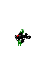 Cc1ccc(C(F)(F)F)cc1-c1c2cc3c(cc2c(-c2cc(C(F)(F)F)ccc2C)c2c4cc5ccccc5c5cccc(c12)c54)c1cccc2c4ccccc4cc3c21